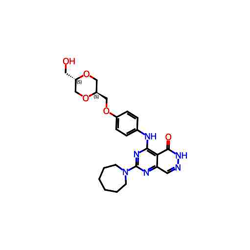 O=c1[nH]ncc2nc(N3CCCCCC3)nc(Nc3ccc(OC[C@@H]4CO[C@@H](CO)CO4)cc3)c12